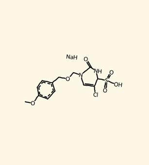 COc1ccc(COCN2C=C(Cl)C(S(=O)(=O)O)NC2=O)cc1.[NaH]